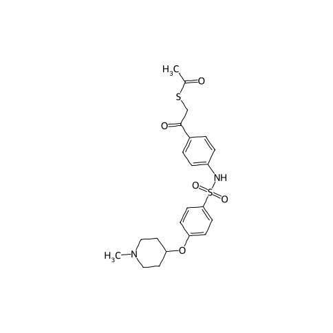 CC(=O)SCC(=O)c1ccc(NS(=O)(=O)c2ccc(OC3CCN(C)CC3)cc2)cc1